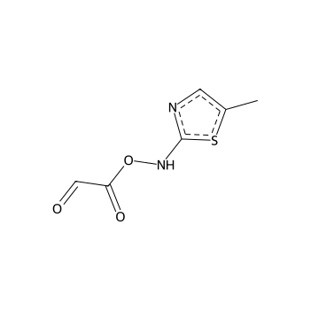 Cc1cnc(NOC(=O)C=O)s1